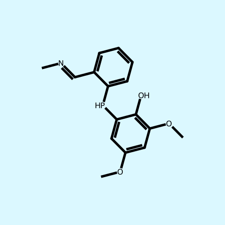 C/N=C/c1ccccc1Pc1cc(OC)cc(OC)c1O